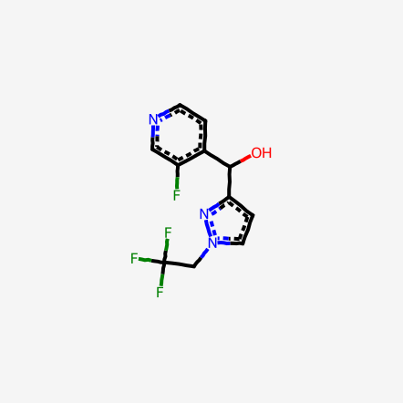 OC(c1ccn(CC(F)(F)F)n1)c1ccncc1F